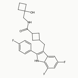 O=C(NCC1(O)CCC1)C1CC(Cc2c(-c3ccc(F)cc3)[nH]c3c(F)cc(F)cc23)C1